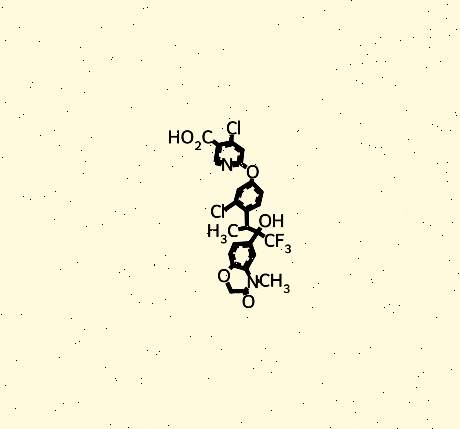 CC(c1ccc(Oc2cc(Cl)c(C(=O)O)cn2)cc1Cl)C(O)(c1ccc2c(c1)N(C)C(=O)CO2)C(F)(F)F